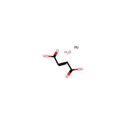 O.O=C(O)C=CC(=O)O.[Pb]